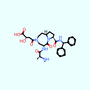 CN[C@@H](C)C(=O)N[C@H]1CN(C(=O)C[C@@H](O)C(=O)O)CC[C@H]2CC[C@@H](C(=O)NC(c3ccccc3)c3ccccc3)N2C1=O